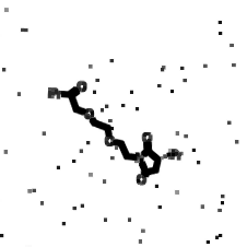 CC(C)C(=O)COCCOCCN1C(=O)C[C@@H](C(C)C)C1=O